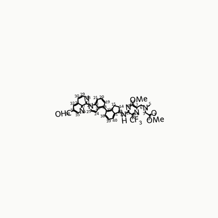 COC(=O)CN(C)Cc1nc(C(F)(F)F)c(N[C@H]2CCc3c(-c4cccc5c4ccn5-c4nccc5cc(C=O)cnc45)cccc32)nc1OC